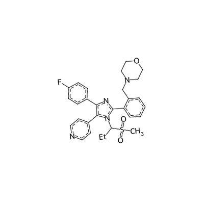 CCC(n1c(-c2ccccc2CN2CCOCC2)nc(-c2ccc(F)cc2)c1-c1ccncc1)S(C)(=O)=O